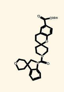 COC(=O)c1ccc2c(c1)CCC1(CCN(C(=O)N3CC4(CCOCC4)c4ccccc43)CC1)O2